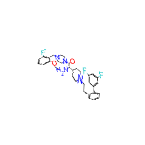 CCOc1cccc(F)c1CN1CCN(C(=O)[C@H](N)C2CCN(CCc3ccccc3-c3cc(F)cc(F)c3)CC2)CC1